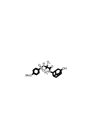 COc1ccc(S(=O)(=O)NC(C)(C)C(=O)NC2C3CC4CC2CC(O)(C4)C3)cc1